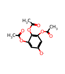 CC(=O)Oc1cc([O])cc(OC(C)=O)c1OC(C)=O